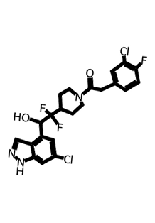 O=C(Cc1ccc(F)c(Cl)c1)N1CCC(C(F)(F)C(O)c2cc(Cl)cc3[nH]ncc23)CC1